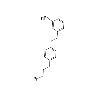 CCCc1cccc(C[CH]c2ccc(CCCC(C)C)cc2)c1